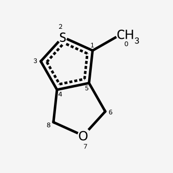 Cc1scc2c1COC2